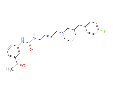 CC(=O)c1cccc(NC(=O)NC/C=C/CN2CCCC(Cc3ccc(F)cc3)C2)c1